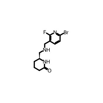 O=C1CCC[C@@H](CNCc2ccc(Br)nc2F)N1